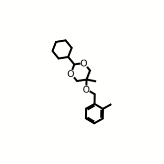 Cc1ccccc1COC1(C)COC(C2CCCCC2)OC1